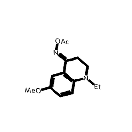 CCN1CC/C(=N\OC(C)=O)c2cc(OC)ccc21